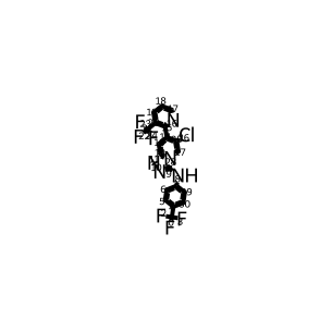 FC(F)(F)c1ccc(Nc2nnc3cc(-c4ncccc4C(F)(F)F)c(Cl)cn23)cc1